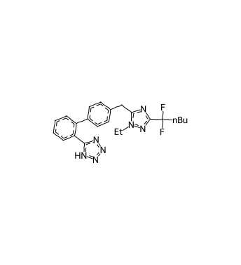 CCCCC(F)(F)c1nc(Cc2ccc(-c3ccccc3-c3nnn[nH]3)cc2)n(CC)n1